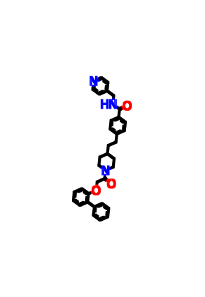 O=C(NCc1ccncc1)c1ccc(CCC2CCN(C(=O)COc3ccccc3-c3ccccc3)CC2)cc1